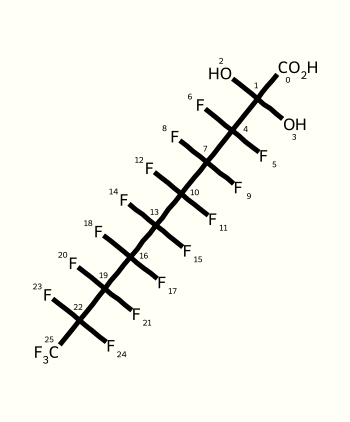 O=C(O)C(O)(O)C(F)(F)C(F)(F)C(F)(F)C(F)(F)C(F)(F)C(F)(F)C(F)(F)C(F)(F)F